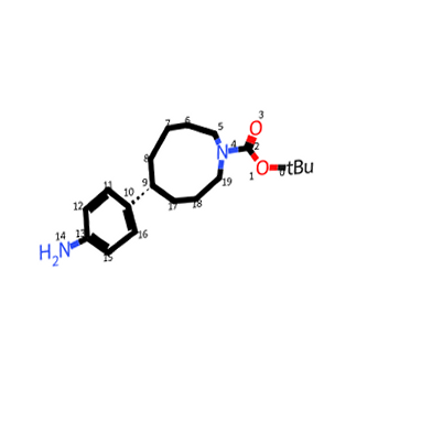 CC(C)(C)OC(=O)N1CCCC[C@@H](c2ccc(N)cc2)CCC1